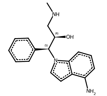 CNC[C@@H](O)[C@H](c1ccccc1)n1ccc2c(N)cccc21